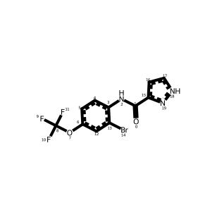 O=C(Nc1ccc(OC(F)(F)F)cc1Br)c1cc[nH]n1